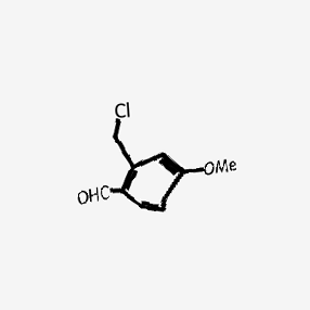 COc1ccc(C=O)c(CCl)c1